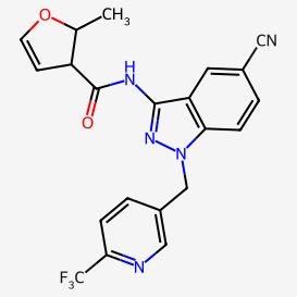 CC1OC=CC1C(=O)Nc1nn(Cc2ccc(C(F)(F)F)nc2)c2ccc(C#N)cc12